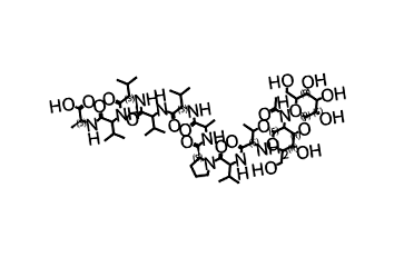 CC(=O)NC1[C@@H](OC(C)[C@H](N)C(=O)NC(C(=O)N2CCC[C@H]2C(=O)NC(C)C(=O)N[C@H](C(=O)NC(C(=O)N[C@H](C(=O)NC(C(=O)N[C@@H](C)C(=O)O)C(C)C)C(C)C)C(C)C)C(C)C)C(C)C)OC(CO)[C@H](O)[C@@H]1O[C@@H]1OC(CO)[C@H](O)C(O)[C@@H]1O